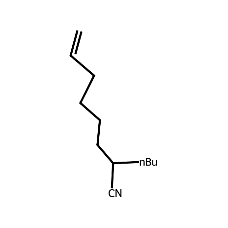 C=CCCCCC(C#N)CCCC